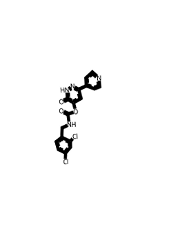 O=C(NCc1ccc(Cl)cc1Cl)Oc1cc(-c2ccncc2)n[nH]c1=O